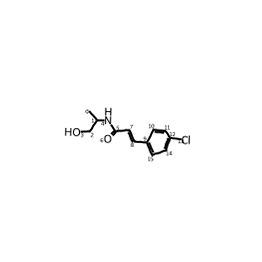 CC(CO)NC(=O)/C=C/c1ccc(Cl)cc1